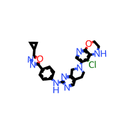 Clc1c(N2CCc3cnc(Nc4ccc(-c5nnc(C6CC6)o5)cc4)nc3C2)cnc2c1NCCO2